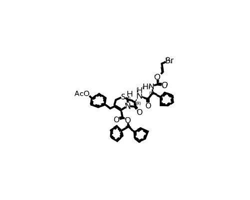 CC(=O)Oc1ccc(CC2=C(C(=O)OC(c3ccccc3)c3ccccc3)N3C(=O)[C@@H](NC(=O)[C@@H](NC(=O)OCCBr)c4ccccc4)[C@@H]3SC2)cc1